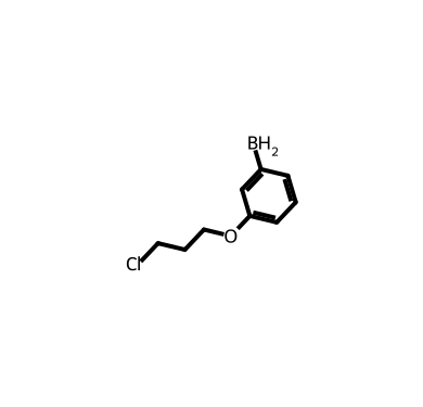 Bc1cccc(OCCCCl)c1